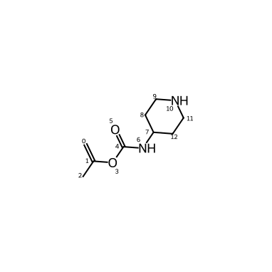 C=C(C)OC(=O)NC1CCNCC1